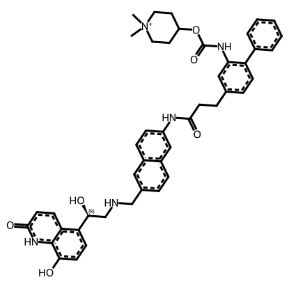 C[N+]1(C)CCC(OC(=O)Nc2cc(CCC(=O)Nc3ccc4cc(CNC[C@H](O)c5ccc(O)c6[nH]c(=O)ccc56)ccc4c3)ccc2-c2ccccc2)CC1